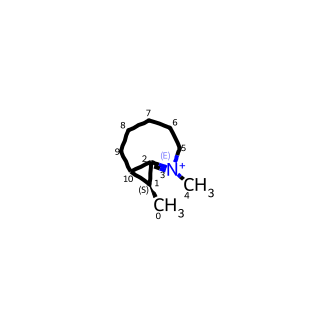 C[C@@H]1/C2=[N+](/C)CCCCCC21